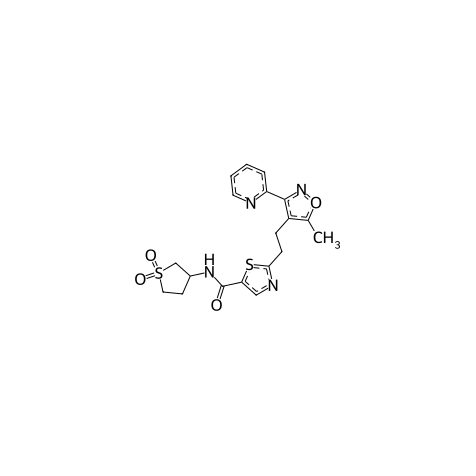 Cc1onc(-c2ccccn2)c1CCc1ncc(C(=O)NC2CCS(=O)(=O)C2)s1